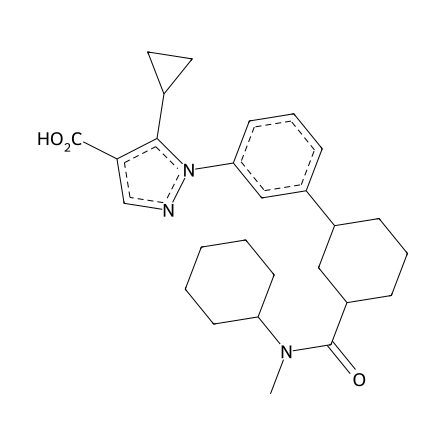 CN(C(=O)C1CCCC(c2cccc(-n3ncc(C(=O)O)c3C3CC3)c2)C1)C1CCCCC1